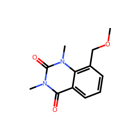 COCc1cccc2c(=O)n(C)c(=O)n(C)c12